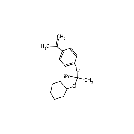 C=C(C)c1ccc(OC(C)(OC2CCCCC2)C(C)C)cc1